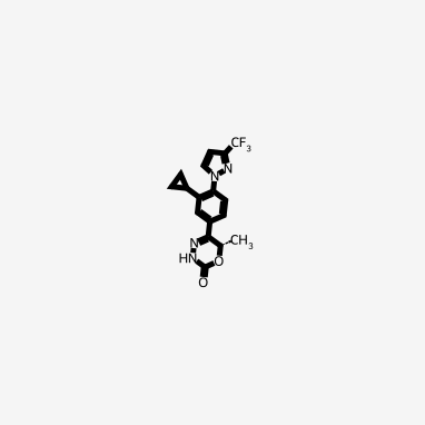 C[C@@H]1OC(=O)NN=C1c1ccc(-n2ccc(C(F)(F)F)n2)c(C2CC2)c1